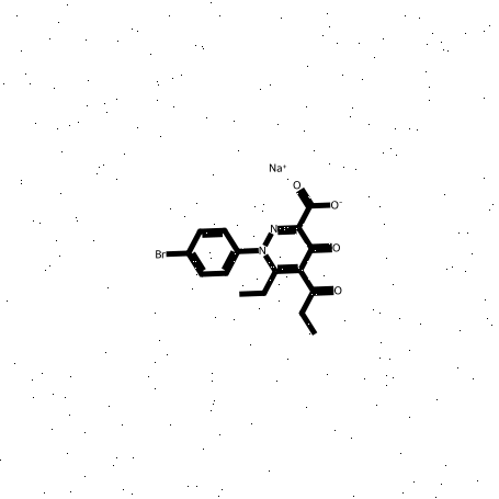 CCC(=O)c1c(CC)n(-c2ccc(Br)cc2)nc(C(=O)[O-])c1=O.[Na+]